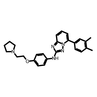 Cc1ccc(-c2cccc3nc(Nc4ccc(OCCN5CCCC5)cc4)nn23)cc1C